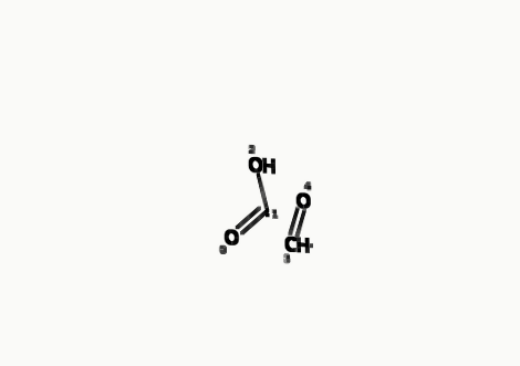 O=[C]O.[CH]=O